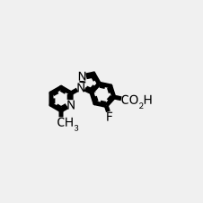 Cc1cccc(-n2ncc3cc(C(=O)O)c(F)cc32)n1